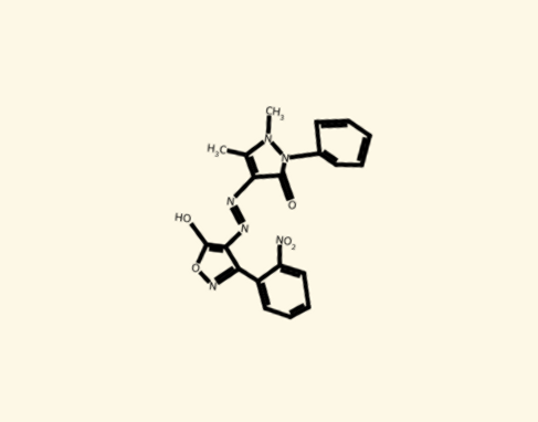 Cc1c(N=Nc2c(-c3ccccc3[N+](=O)[O-])noc2O)c(=O)n(-c2ccccc2)n1C